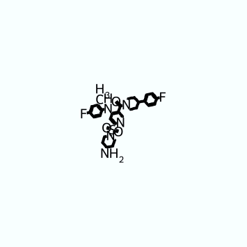 Cc1cc(F)ccc1Nc1cc(S(=O)(=O)N2CCC(N)CC2)ncc1C(=O)N1CCC(c2ccc(F)cc2)CC1